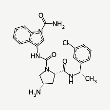 C[C@H](NC(=O)[C@@H]1C[C@H](N)CN1C(=O)Nc1cn(C(N)=O)c2ccccc12)c1cccc(Cl)c1